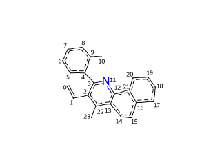 C=Cc1c(-c2ccccc2C)nc2c(ccc3ccccc32)c1C